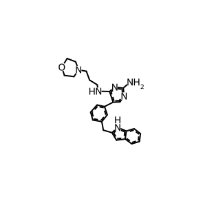 Nc1ncc(-c2cccc(Cc3cc4ccccc4[nH]3)c2)c(NCCCN2CCOCC2)n1